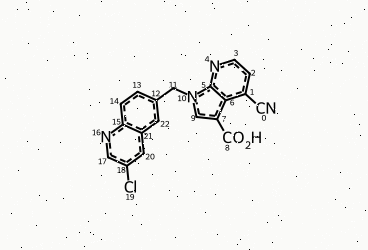 N#Cc1ccnc2c1c(C(=O)O)cn2Cc1ccc2ncc(Cl)cc2c1